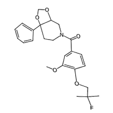 COc1cc(C(=O)N2CCC3(c4ccccc4)OCOC3C2)ccc1OCC(C)(C)F